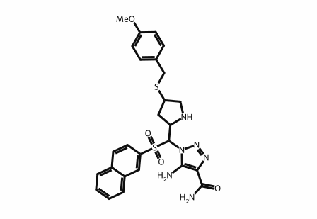 COc1ccc(CSC2CNC(C(n3nnc(C(N)=O)c3N)S(=O)(=O)c3ccc4ccccc4c3)C2)cc1